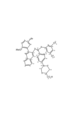 COc1ccc(C(C)C)cc1-c1nc2ccccc2cc1CN(Cc1cc(C(F)(F)F)cc(C(F)(F)F)c1)c1ncc(N2CCC(C(=O)O)CC2)cn1